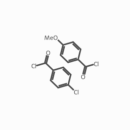 COc1ccc(C(=O)Cl)cc1.O=C(Cl)c1ccc(Cl)cc1